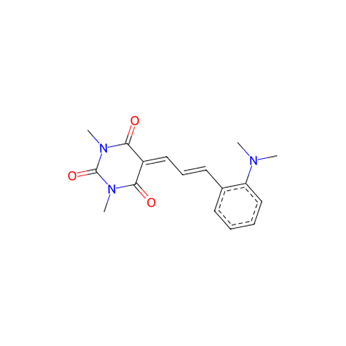 CN1C(=O)C(=C/C=C/c2ccccc2N(C)C)C(=O)N(C)C1=O